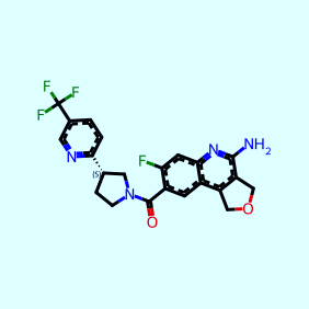 Nc1nc2cc(F)c(C(=O)N3CC[C@H](c4ccc(C(F)(F)F)cn4)C3)cc2c2c1COC2